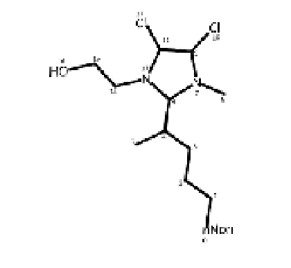 CCCCCCCCCCCCC(C)C1N(C)C(Cl)C(Cl)N1CCO